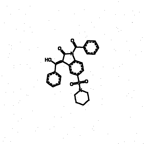 O=C1/C(=C(\O)c2ccccc2)c2cc(S(=O)(=O)N3CCCCC3)ccc2N1C(=O)c1ccccc1